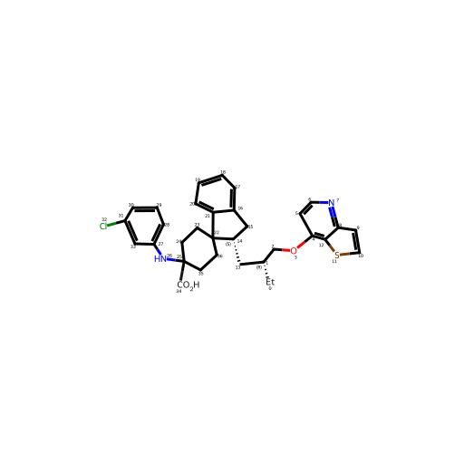 CC[C@@H](COc1ccnc2ccsc12)C[C@H]1Cc2ccccc2C12CCC(Nc1cccc(Cl)c1)(C(=O)O)CC2